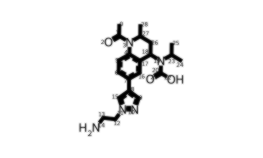 CC(=O)N1c2ccc(-c3cnn(CCN)c3)cc2C(N(C(=O)O)C(C)C)CC1C